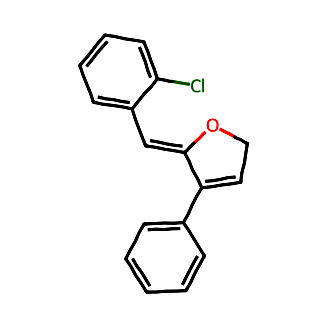 Clc1ccccc1C=C1OCC=C1c1ccccc1